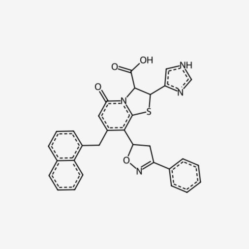 O=C(O)C1C(c2c[nH]cn2)Sc2c(C3CC(c4ccccc4)=NO3)c(Cc3cccc4ccccc34)cc(=O)n21